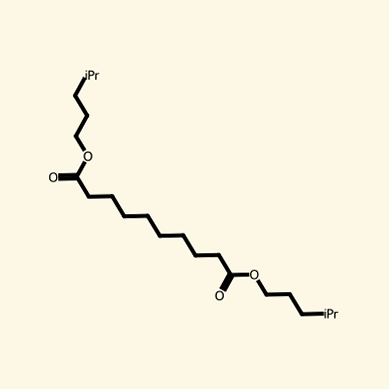 CC(C)CCCOC(=O)CCCCCCCCC(=O)OCCCC(C)C